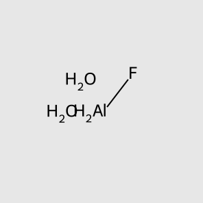 O.O.[F][AlH2]